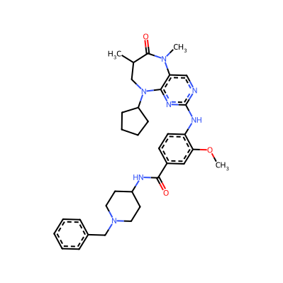 COc1cc(C(=O)NC2CCN(Cc3ccccc3)CC2)ccc1Nc1ncc2c(n1)N(C1CCCC1)CC(C)C(=O)N2C